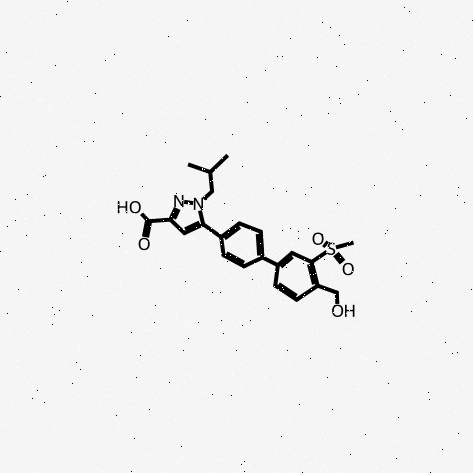 CC(C)Cn1nc(C(=O)O)cc1-c1ccc(-c2ccc(CO)c(S(C)(=O)=O)c2)cc1